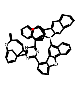 C=C1/C=C\C(C)C2(c3nc(-c4ccccc4)nc(-c4cccc5oc6c7ccccc7c(-n7c8cc9ccccc9cc8c8cc9ccccc9cc87)cc6c45)n3)C=CC=C(C2)O1